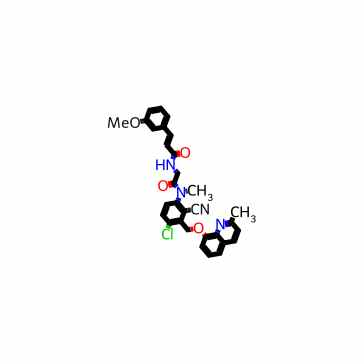 COc1cccc(/C=C/C(=O)NCC(=O)N(C)c2ccc(Cl)c(COc3cccc4ccc(C)nc34)c2C#N)c1